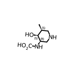 C[C@H]1CNC[C@@H](NC(=O)O)[C@H]1O